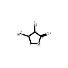 CCCC1COC(=O)C1CC